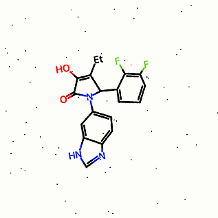 CCC1=C(O)C(=O)N(c2ccc3nc[nH]c3c2)C1c1cccc(F)c1F